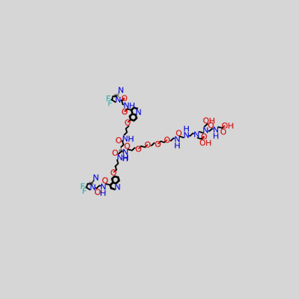 N#C[C@@H]1CC(F)(F)CN1C(=O)CNC(=O)c1ccnc2ccc(OCCCCNC(=O)[C@H](CCC(=O)NCCCCOc3ccc4nccc(C(=O)NCC(=O)N5CC(F)(F)C[C@@H]5C#N)c4c3)NC(=O)CCOCCOCCOCCOCCNC(=O)CNCCN(CCN(CCNCC(=O)O)CC(=O)O)CC(=O)O)cc12